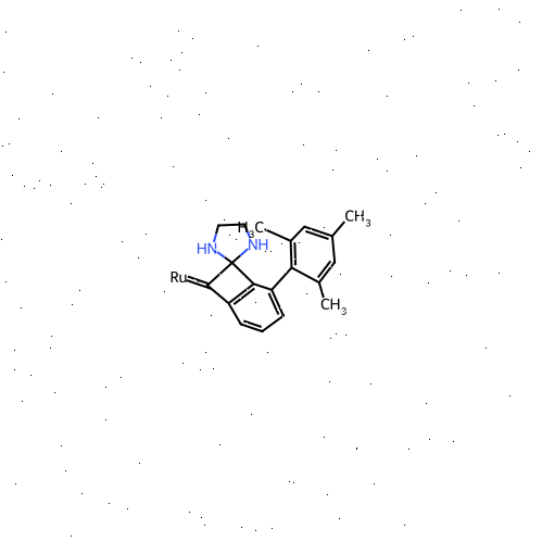 Cc1cc(C)c(-c2cccc3c2C2(NCCN2)[C]3=[Ru])c(C)c1